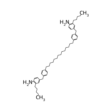 CCCCCc1cc(Cc2ccc(CCCCCCCCCCCCCCc3ccc(Cc4ccc(N)c(CCCCC)c4)cc3)cc2)ccc1N